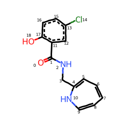 O=C(NCC1=CC=CC=CN1)c1cc(Cl)ccc1O